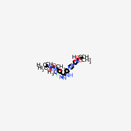 Cc1c([C@@H](C)NC(=O)c2noc(C(C)(C)C)n2)ccc(-c2ncnc3[nH]c4cc(N5CCN(C6CCN(C(=O)OC(C)(C)C)CC6)CC5)ccc4c23)c1F